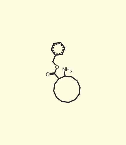 NC1CCCCCCCCCCC1C(=O)OCc1ccccc1